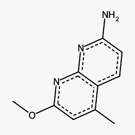 COc1cc(C)c2ccc(N)nc2n1